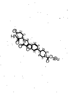 CC(C)(C)OC(=O)N1CCC(c2ccc3c4c(oc3c2)C(=O)N(C2CCC(=O)NC2=O)C4)CC1